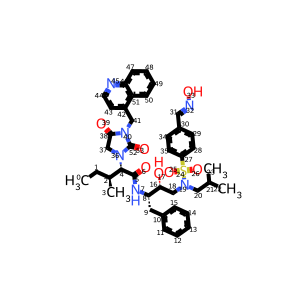 CC[C@H](C)[C@@H](C(=O)N[C@@H](Cc1ccccc1)[C@H](O)CN(CC(C)C)S(=O)(=O)c1ccc(C=NO)cc1)N1CC(=O)N(Cc2ccnc3ccccc23)C1=O